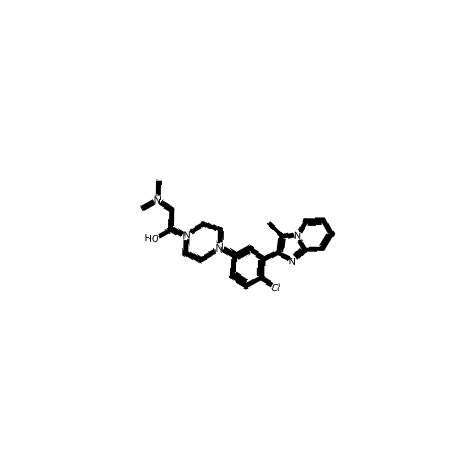 Cc1c(-c2cc(N3CCN(C(O)CN(C)C)CC3)ccc2Cl)nc2ccccn12